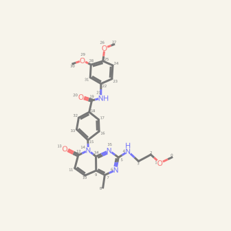 COCCNc1nc(C)c2ccc(=O)n(-c3ccc(C(=O)Nc4ccc(OC)c(OC)c4)cc3)c2n1